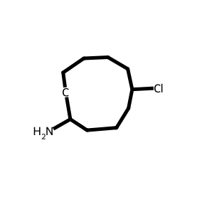 NC1CCCCCC(Cl)CCC1